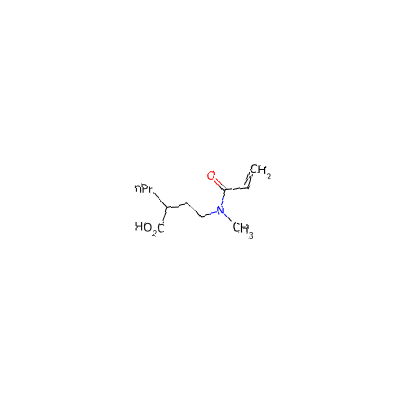 C=CC(=O)N(C)CCC(CCC)C(=O)O